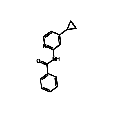 O=C(Nc1cc(C2CC2)ccn1)c1ccccc1